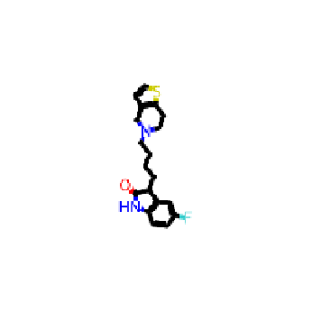 O=C1Nc2ccc(F)cc2C1CCCCN1CCc2sccc2C1